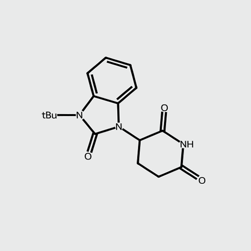 CC(C)(C)n1c(=O)n(C2CCC(=O)NC2=O)c2ccccc21